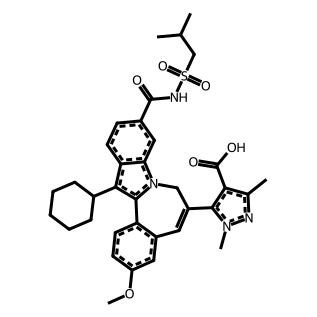 COc1ccc2c(c1)C=C(c1c(C(=O)O)c(C)nn1C)Cn1c-2c(C2CCCCC2)c2ccc(C(=O)NS(=O)(=O)CC(C)C)cc21